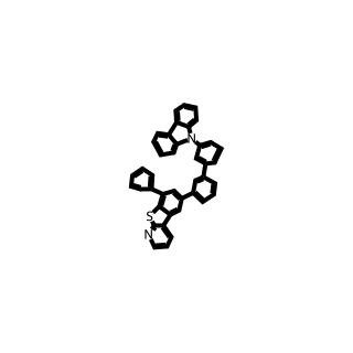 c1ccc(-c2cc(-c3cccc(-c4cccc(-n5c6ccccc6c6ccccc65)c4)c3)cc3c2sc2ncccc23)cc1